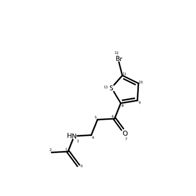 C=C(C)NCCC(=O)c1ccc(Br)s1